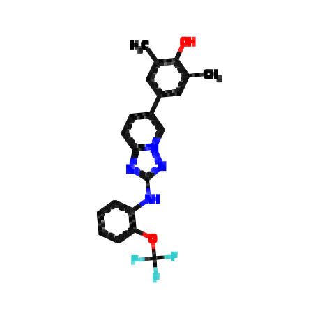 Cc1cc(-c2ccc3nc(Nc4ccccc4OC(F)(F)F)nn3c2)cc(C)c1O